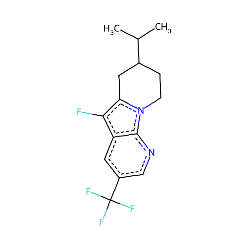 CC(C)C1CCn2c(c(F)c3cc(C(F)(F)F)cnc32)C1